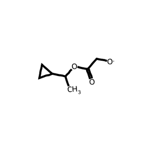 CC(OC(=O)C[O])C1CC1